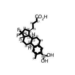 Cc1cc2c(cc1B(O)O)CC[C@H]1[C@@H]3[C@H](CCCC(=O)O)CC(F)(F)[C@@]3(C)CC[C@H]21